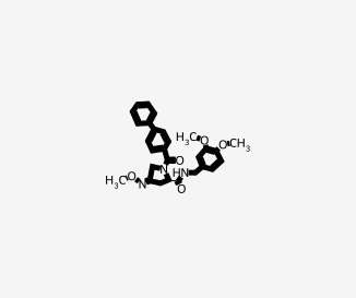 CON=C1C[C@@H](C(=O)NCc2ccc(OC)c(OC)c2)N(C(=O)c2ccc(-c3ccccc3)cc2)C1